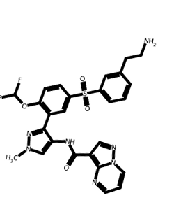 Cn1cc(NC(=O)c2cnn3cccnc23)c(-c2cc(S(=O)(=O)c3cccc(CCN)c3)ccc2OC(F)F)n1